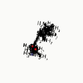 C/C=C(/C)C(=O)O[C@H]1C(C)=C2[C@H]([C@@H]1OC(=O)CCCCCCC)[C@@](C)(OC(C)=O)C[C@H](OC(=O)CCCCCCCCCCCNC(=O)[C@H](CC(C)C)NC(=O)[C@H](CCCN=C(N)N)NC(=O)[C@H](CCCN=C(N)N)NC(=O)[C@H](Cc1ccccc1)NC(=O)[C@H](C)NC(=O)[C@H](CCCCN)NC(=O)CNC(C)=O)[C@@]1(O)[C@H]2OC(=O)[C@@]1(C)O